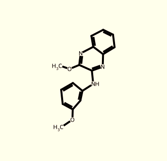 COc1cccc(Nc2nc3ccccc3nc2OC)c1